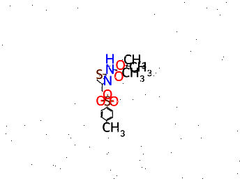 Cc1ccc(S(=O)(=O)OCC2CSC(NC(=O)OC(C)(C)C)=N2)cc1